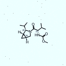 COC(=O)N[C@H](C(=O)N1C[C@@H]2C[C@@H]2[C@H]1C(C)C)C(C)C